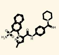 Cc1cc(C(=O)Nc2ccc(C(=N)N3CCCCC3)cc2)n(-c2cc3ccccc3cc2S(N)(=O)=O)n1